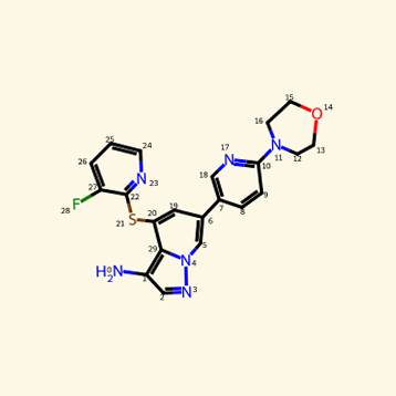 Nc1cnn2cc(-c3ccc(N4CCOCC4)nc3)cc(Sc3ncccc3F)c12